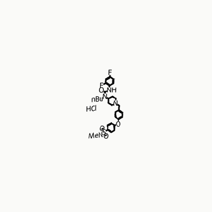 CCCCN(C(=O)Nc1ccc(F)cc1F)C1CCN(Cc2ccc(Oc3ccc(S(=O)(=O)NC)cc3)cc2)CC1.Cl